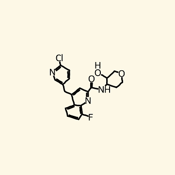 O=C(NC1CCOCC1O)c1cc(Cc2ccc(Cl)nc2)c2cccc(F)c2n1